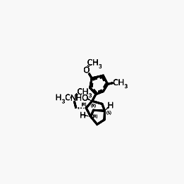 COc1cc(C)cc([C@@]2(O)C[C@H]3CC[C@H](C3)[C@@H]2CN(C)C)c1